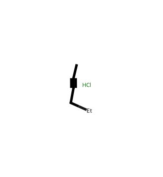 CC#CCCC.Cl